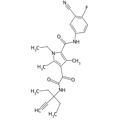 C#CC(CC)(CC)NC(=O)C(=O)c1c(C)c(C(=O)Nc2ccc(F)c(C#N)c2)n(CC)c1C